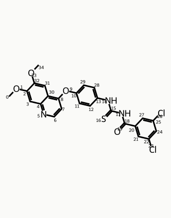 COc1cc2nccc(Oc3ccc(NC(=S)NC(=O)c4cc(Cl)cc(Cl)c4)cc3)c2cc1OC